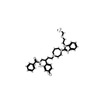 CN(CC(CCN1CCCN(c2nc3ccccc3n2CCOCC(F)(F)F)CC1)c1ccc(Cl)cc1)C(=O)c1ccccc1